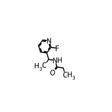 CCC(=O)NC(C)c1cccnc1F